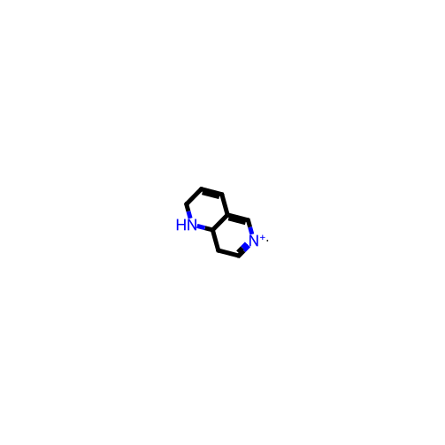 C1=CC2=C[N+]=CCC2NC1